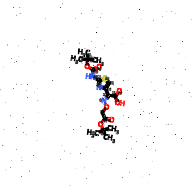 CC(C)(C)OC(=O)CO/N=C(\C(=O)O)c1csc(NC(=O)OC(C)(C)C)n1